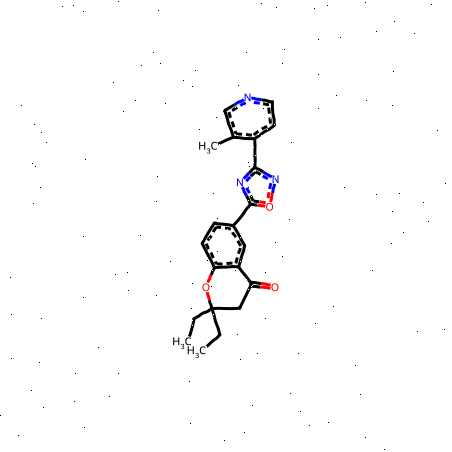 CCC1(CC)CC(=O)c2cc(-c3nc(-c4ccncc4C)no3)ccc2O1